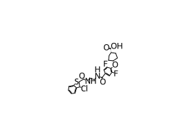 O=C(NCCNC(=O)C1Sc2ccccc2C1Cl)c1cc(F)c(O[C@H]2CC[C@@H](C(=O)O)CC2)c(F)c1